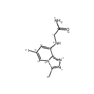 Cc1nnc2c(NCC(N)=O)cc(I)cn12